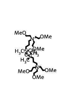 COCC[N+](CCC[Si](C)(C)O[Si](C)(C)CCC[N+](CCOC)(CCOC)CCOC)(CCOC)CCOC